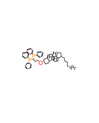 CC(C)CCC[C@@H](C)C1CC[C@H]2[C@@H]3CC=C4C[C@@H](OCCC(P(c5ccccc5)c5ccccc5)P(c5ccccc5)c5ccccc5)CC[C@]4(C)[C@H]3CC[C@]12C